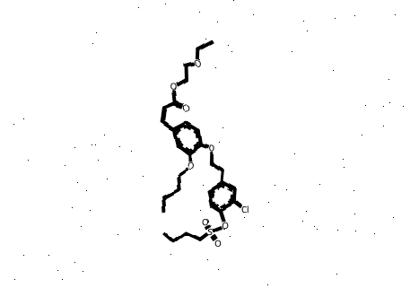 CCCCOc1cc(/C=C\C(=O)OCCOCC)ccc1OCCc1ccc(OS(=O)(=O)CCCC)c(Cl)c1